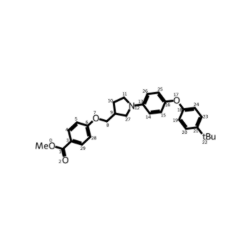 COC(=O)c1ccc(OCC2CCN(c3ccc(Oc4ccc(C(C)(C)C)cc4)cc3)C2)cc1